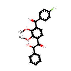 COc1c(C(=O)c2ccc(F)cc2)ccc(C(=O)C(O)c2ccccc2)c1OC